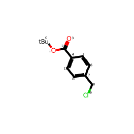 CC(C)(C)OC(=O)c1ccc(CCl)cc1